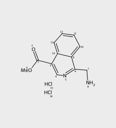 COC(=O)c1cnc(CN)c2ccccc12.Cl.Cl